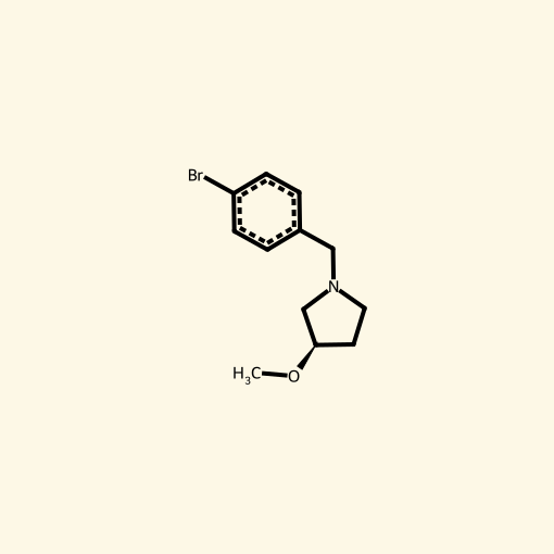 CO[C@@H]1CCN(Cc2ccc(Br)cc2)C1